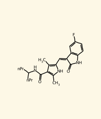 CCCC(CCC)NC(=O)c1c(C)[nH]c(/C=C2\C(=O)Nc3ccc(F)cc32)c1C